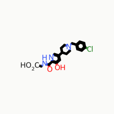 O=C(O)CNC(=O)c1ncc(C2CCN(Cc3ccc(Cl)cc3)CC2)cc1O